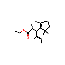 CC=C(C)C(C1=C(C)CCCC1(C)C)C(C)C(=O)OCC